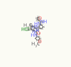 CO[C@H]1CC[C@H](NC(=O)c2nc(N[C@H]3CCCC[C@H]3NC(=N)c3ccco3)c3cc(C)ccc3n2)CC1.Cl.Cl